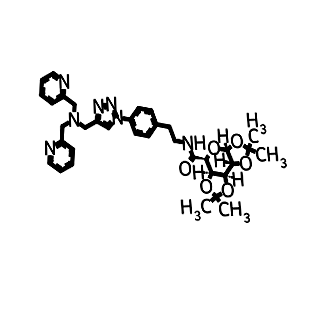 CC1(C)O[C@H]2[C@@H](O1)[C@@H](C(=O)NCCc1ccc(-n3cc(CN(Cc4ccccn4)Cc4ccccn4)nn3)cc1)O[C@@H]1OC(C)(C)O[C@@H]12